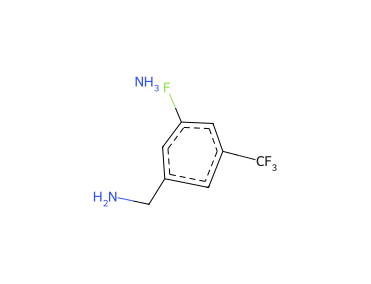 N.NCc1cc(F)cc(C(F)(F)F)c1